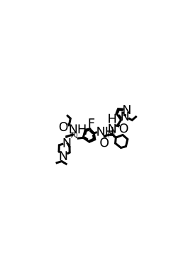 CCC(=O)N[C@H](Cc1ccc(NC(=O)[C@@H](NC(=O)c2ccnn2CC)C2CCCCC2)c(F)c1)CN1CCN(C(C)C)CC1